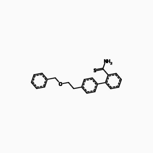 NC(=S)c1ccccc1-c1ccc(CCOCc2ccccc2)cc1